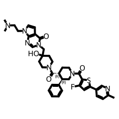 Cc1ccc(-c2cc(F)c(C(=O)N3CC[C@@H](C(=O)N4CCC(O)(Cn5cnc6c(ccn6CCN(C)C)c5=O)CC4)[C@H](c4ccccc4)C3)s2)cn1